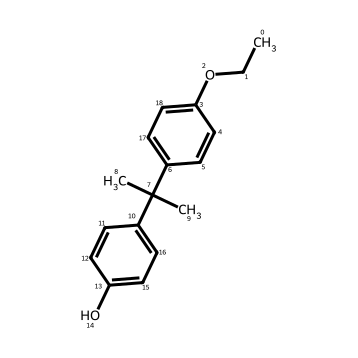 CCOc1ccc(C(C)(C)c2ccc(O)cc2)cc1